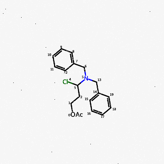 CC(=O)OCCC(Cl)N(Cc1ccccc1)Cc1ccccc1